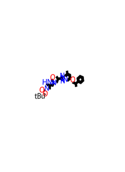 Cc1cc(OCC(C)c2ccccc2)cn2nc(C(C)CN3CC4(CN(C(=O)OC(C)(C)C)C4)NC3=O)nc12